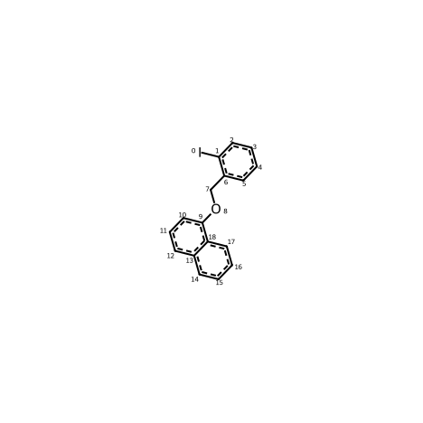 Ic1ccccc1COc1cccc2ccccc12